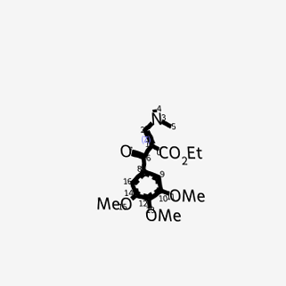 CCOC(=O)/C(=C\N(C)C)C(=O)c1cc(OC)c(OC)c(OC)c1